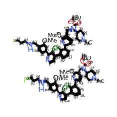 COc1cc(-c2nccc(-c3cccc(-c4ccc(CN(C(=O)OC(C)(C)C)C5CCN(C(C)=O)CC5)c(OC)n4)c3Cl)c2Cl)ccc1CNCCCF.COc1cc(-c2nccc(-c3cccc(-c4ccc(CN(C(=O)OC(C)(C)C)C5CCN(C(C)=O)CC5)c(OC)n4)c3Cl)c2Cl)ccc1CNCCCF